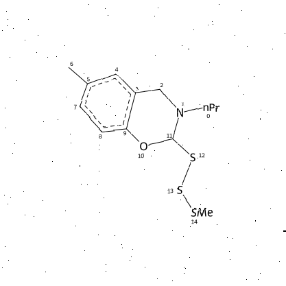 CCCN1Cc2cc(C)ccc2OC1SSSC